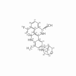 C#C[C@@H](Nc1nc(=O)[nH]c2c(C)cc(C3=C4CNCC(C3)OC4)cc12)c1cccc(C(F)F)c1F